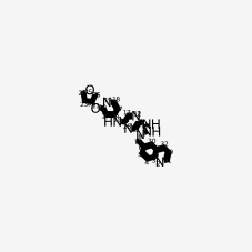 c1cnc2ccc(CN3NNc4ncc(Nc5ccnc(O[C@@H]6CCOC6)c5)nc43)cc2c1